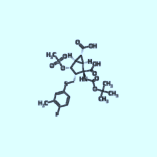 Cc1cc(SC[C@@H]2[C@H](OS(C)(=O)=O)[C@H]3[C@H](C(=O)O)[C@H]3[C@]2(NC(=O)OC(C)(C)C)C(=O)O)ccc1F